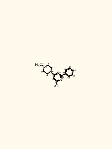 CN1CCN(c2cc(Cl)nc(-c3ccccc3)n2)CC1